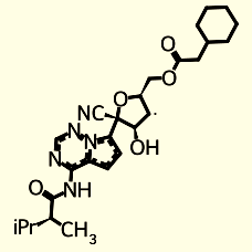 CC(C)[C@H](C)C(=O)Nc1ncnn2c([C@]3(C#N)O[C@@H](COC(=O)CC4CCCCC4)[CH][C@H]3O)ccc12